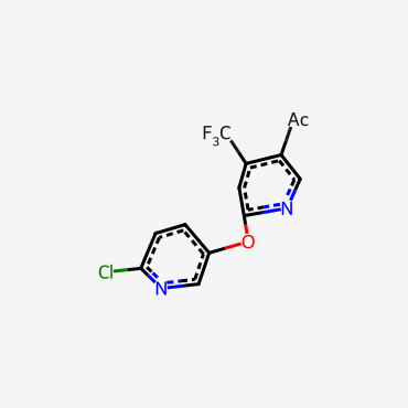 CC(=O)c1cnc(Oc2ccc(Cl)nc2)cc1C(F)(F)F